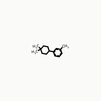 Cc1cccc(C2CCC(C)(C)CC2)c1